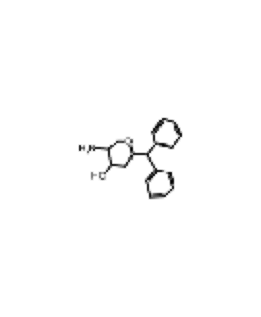 NC1COC(C(c2ccccc2)c2ccccc2)CC1O